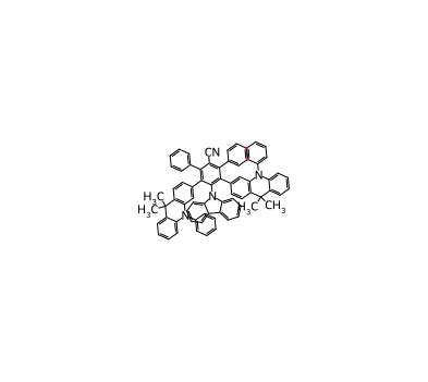 CC1(C)c2ccccc2N(c2ccccc2)c2cc(-c3c(-c4ccccc4)c(C#N)c(-c4ccccc4)c(-c4ccc5c(c4)N(c4ccccc4)c4ccccc4C5(C)C)c3-n3c4ccccc4c4ccccc43)ccc21